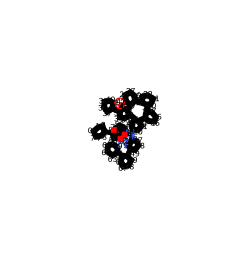 c1ccc(-c2ccc(N(c3ccc4c5ccccc5c5ccccc5c5ccccc5c5c(ccc6c7ccccc7oc65)c4c3)c3cccc4c3N(c3ccccc3)c3ccccc3-c3ccccc3-4)cc2)cc1